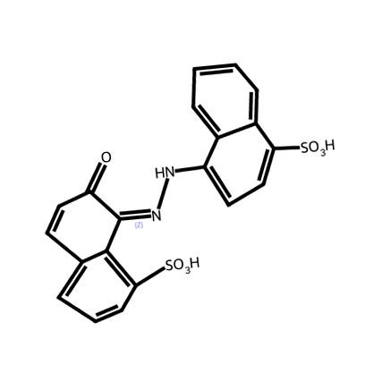 O=C1C=Cc2cccc(S(=O)(=O)O)c2/C1=N/Nc1ccc(S(=O)(=O)O)c2ccccc12